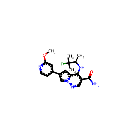 COc1cc(-c2cc3c(N[C@H](C)C(C)(C)F)c(C(N)=O)cnn3c2)ccn1